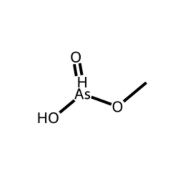 CO[AsH](=O)O